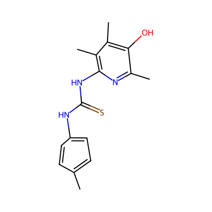 Cc1ccc(NC(=S)Nc2nc(C)c(O)c(C)c2C)cc1